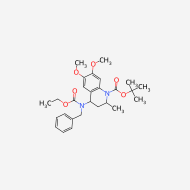 CCOC(=O)N(Cc1ccccc1)C1CC(C)N(C(=O)OC(C)(C)C)c2cc(OC)c(OC)cc21